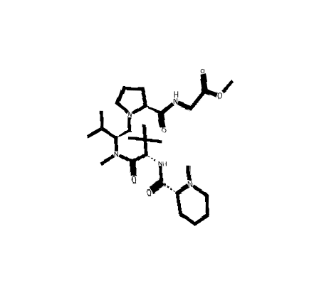 COC(=O)CNC(=O)[C@@H]1CCCN1C[C@H](C(C)C)N(C)C(=O)[C@@H](NC(=O)[C@H]1CCCCN1C)C(C)(C)C